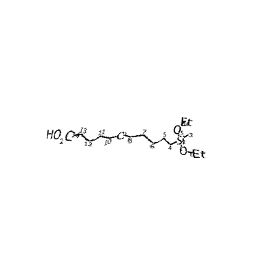 CCO[Si](C)(CCCCCCCCCCC(=O)O)OCC